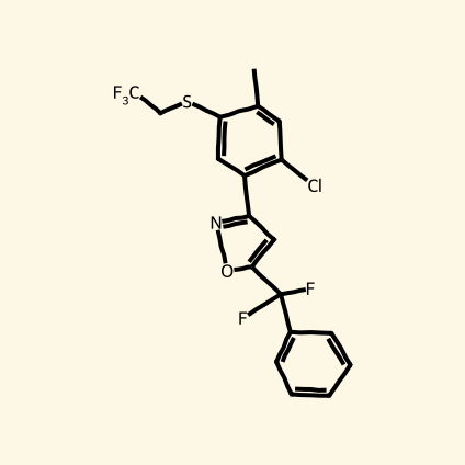 Cc1cc(Cl)c(-c2cc(C(F)(F)c3ccccc3)on2)cc1SCC(F)(F)F